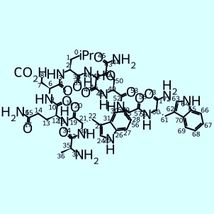 CC(C)C[C@H](NC(=O)[C@H](CC(=O)O)NC(=O)[C@H](CCC(N)=O)NC(=O)[C@H](Cc1c[nH]c2ccccc12)NC(=O)[C@H](C)N)C(=O)N[C@@H](CC(N)=O)C(=O)N[C@@H](CO)C(=O)N[C@@H](C)C(=O)N[C@@H](Cc1c[nH]c2ccccc12)C(N)=O